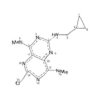 CNc1nc(NCC2CC2)nc2c(NC)nc(Cl)nc12